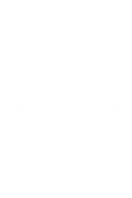 O=C(COC1CC(C2(O)CCCC2)C2CC1OC2=O)OCCC(F)(F)C(F)(F)S(=O)(=O)O